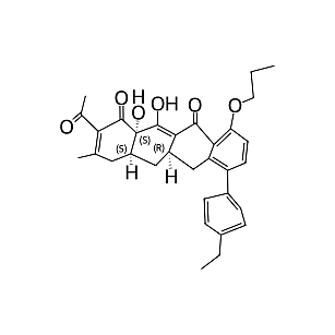 CCCOc1ccc(-c2ccc(CC)cc2)c2c1C(=O)C1=C(O)[C@]3(O)C(=O)C(C(C)=O)=C(C)C[C@@H]3C[C@@H]1C2